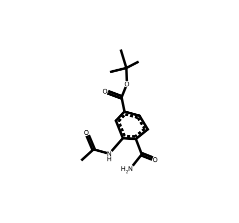 CC(=O)Nc1cc(C(=O)OC(C)(C)C)ccc1C(N)=O